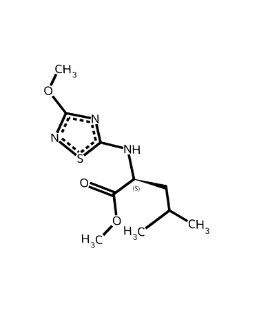 COC(=O)[C@H](CC(C)C)Nc1nc(OC)ns1